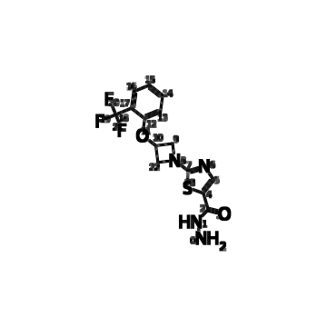 NNC(=O)c1cnc(N2CC(Oc3ccccc3C(F)(F)F)C2)s1